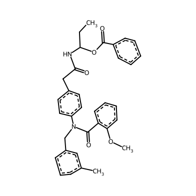 CCC(NC(=O)Cc1ccc(N(Cc2cccc(C)c2)C(=O)c2ccccc2OC)cc1)OC(=O)c1ccccc1